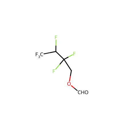 O=COCC(F)(F)C(F)C(F)(F)F